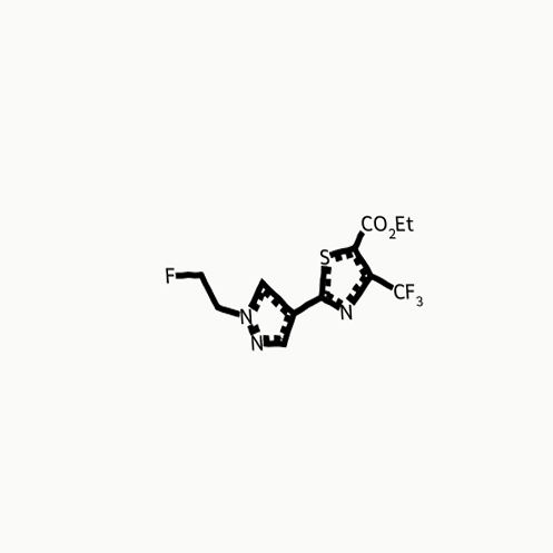 CCOC(=O)c1sc(-c2cnn(CCF)c2)nc1C(F)(F)F